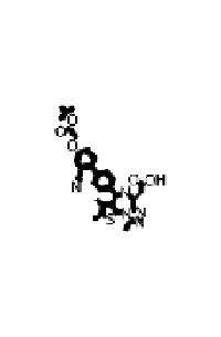 Cc1sc2c(c1C)C(c1ccc(-c3ccc(OCC(=O)OC(C)(C)C)cc3C#N)cc1)=N[C@@H](CC(=O)O)c1nnc(C)n1-2